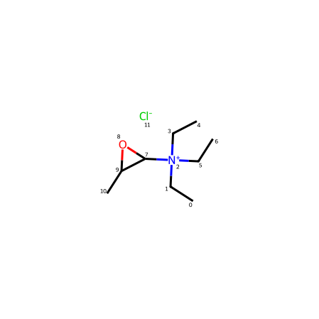 CC[N+](CC)(CC)C1OC1C.[Cl-]